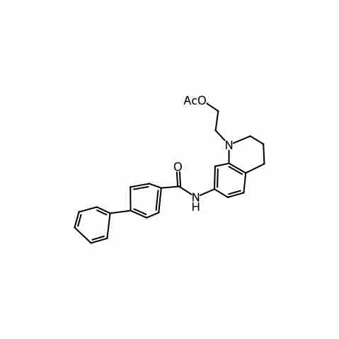 CC(=O)OCCN1CCCc2ccc(NC(=O)c3ccc(-c4ccccc4)cc3)cc21